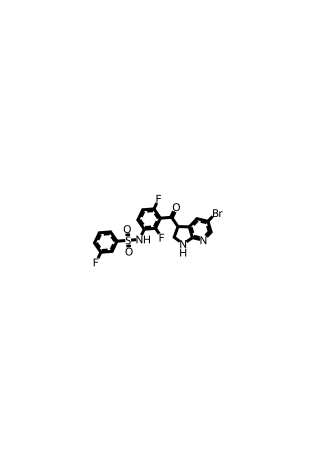 O=C(c1c(F)ccc(NS(=O)(=O)c2cccc(F)c2)c1F)C1CNc2ncc(Br)cc21